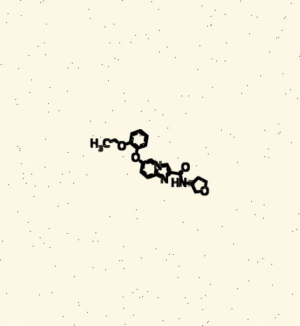 CCOc1ccccc1Oc1ccc2nc(C(=O)N[C@H]3CCOC3)cn2c1